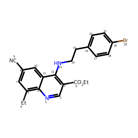 CCOC(=O)c1cnc2c(CC)cc(C#N)cc2c1NCCc1ccc(Br)cc1